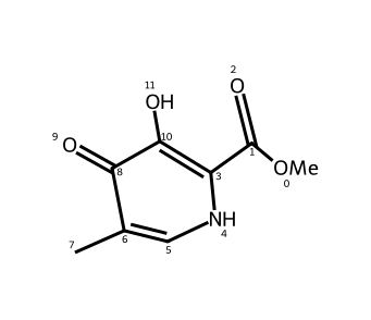 COC(=O)c1[nH]cc(C)c(=O)c1O